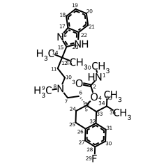 CNC(=O)O[C@]1(CCN(C)CCC(C)(C)c2nc3ccccc3[nH]2)CCc2cc(F)ccc2C1C(C)C